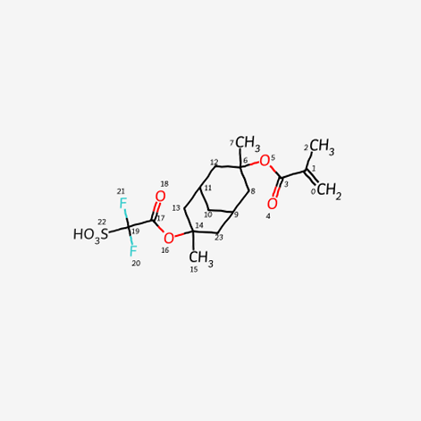 C=C(C)C(=O)OC1(C)CC2CC(C1)CC(C)(OC(=O)C(F)(F)S(=O)(=O)O)C2